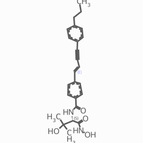 CCCc1ccc(C#C/C=C/c2ccc(C(=O)N[C@H](C(=O)NO)C(C)(C)O)cc2)cc1